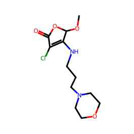 COC1OC(=O)C(Cl)=C1NCCCN1CCOCC1